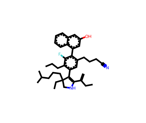 C=C(CC)C1=C(c2cc(CCCC#N)c(-c3cc(O)cc4ccccc34)c(F)c2CCC)C(CC)(CCCC(C)C)CN1